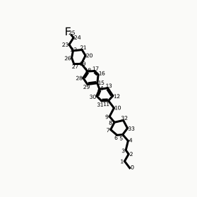 CCCCCC1CCC(CCc2ccc(-c3ccc(C4CCC(CCF)CC4)cc3)cc2)CC1